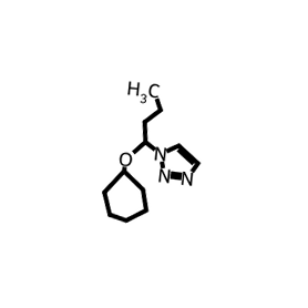 CCCC(OC1CCCCC1)n1ccnn1